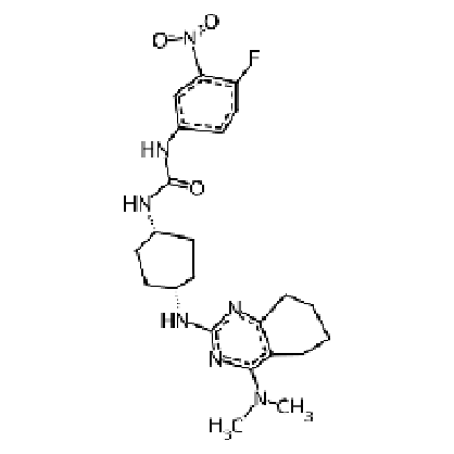 CN(C)c1nc(N[C@H]2CC[C@@H](NC(=O)Nc3ccc(F)c([N+](=O)[O-])c3)CC2)nc2c1CCCC2